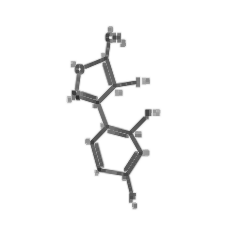 Cc1onc(-c2ccc(F)cc2F)c1I